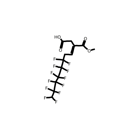 COC(=O)C(=CCC(F)(F)C(F)(F)C(F)(F)C(F)(F)C(F)(F)C(F)F)CC(=O)O